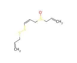 C=CCSS/C=C\C[S+]([O-])CC=C